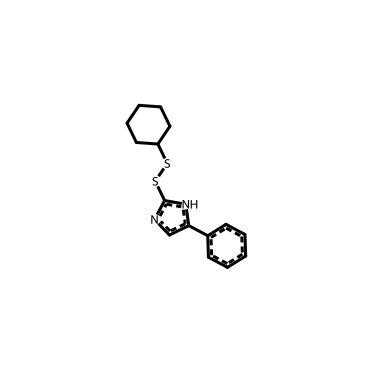 c1ccc(-c2cnc(SSC3CCCCC3)[nH]2)cc1